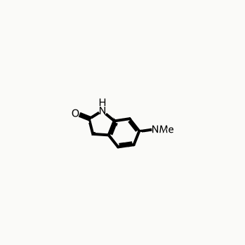 CNc1ccc2c(c1)NC(=O)C2